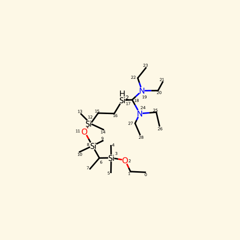 CCO[Si](C)(C)C(C)[Si](C)(C)O[Si](C)(C)CC[SiH2]C(N(CC)CC)N(CC)CC